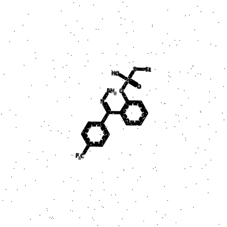 CCSP(=O)(O)Oc1ccccc1/C(=N\N)c1ccc(C(F)(F)F)cc1